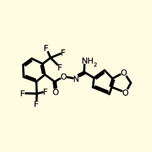 N/C(=N\OC(=O)c1c(C(F)(F)F)cccc1C(F)(F)F)c1ccc2c(c1)OCO2